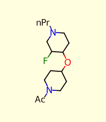 CCCN1CCC(OC2CCN(C(C)=O)CC2)C(F)C1